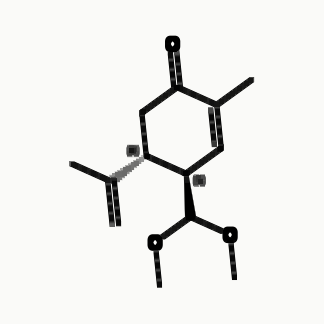 C=C(C)[C@@H]1CC(=O)C(C)=C[C@H]1C(OC)OC